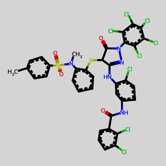 Cc1ccc(S(=O)(=O)N(C)c2ccccc2SC2C(=O)N(c3c(Cl)c(Cl)c(Cl)c(Cl)c3Cl)N=C2Nc2cc(NC(=O)c3cccc(Cl)c3Cl)ccc2Cl)cc1